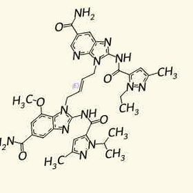 CCn1nc(C)cc1C(=O)Nc1nc2cc(C(N)=O)cnc2n1C/C=C/Cn1c(NC(=O)c2cc(C)nn2C(C)C)nc2cc(C(N)=O)cc(OC)c21